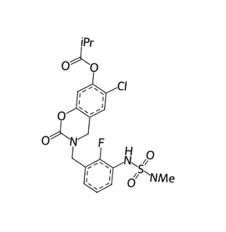 CNS(=O)(=O)Nc1cccc(CN2Cc3cc(Cl)c(OC(=O)C(C)C)cc3OC2=O)c1F